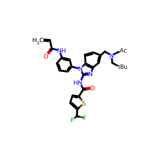 C=CC(=O)Nc1cccc(-n2c(NC(=O)c3ccc(C(F)F)s3)nc3cc(CN(CC(C)(C)C)C(C)=O)ccc32)c1